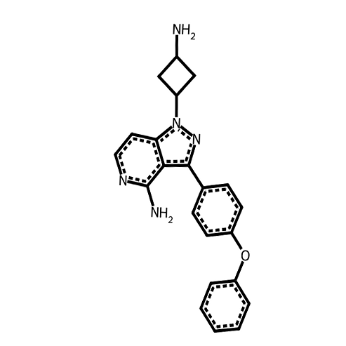 Nc1nccc2c1c(-c1ccc(Oc3ccccc3)cc1)nn2C1CC(N)C1